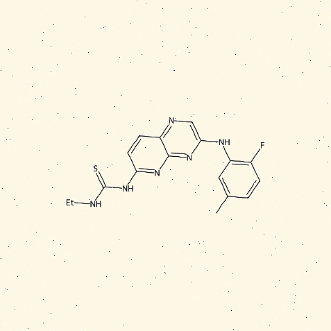 CCNC(=S)Nc1ccc2ncc(Nc3cc(C)ccc3F)nc2n1